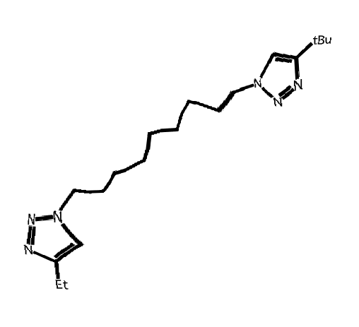 CCc1cn(CCCCCCCCCn2cc(C(C)(C)C)nn2)nn1